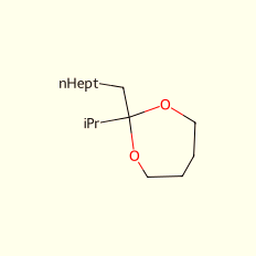 CCCCCCCCC1(C(C)C)OCCCCO1